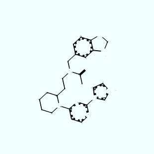 CC(=O)N(CCC1CCCCN1c1ccnc(-n2ccnc2)n1)Cc1ccc2c(c1)OCO2